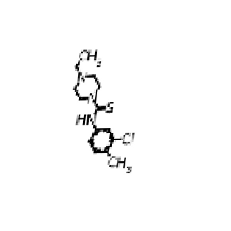 CCN1CCN(C(=S)Nc2ccc(C)c(Cl)c2)CC1